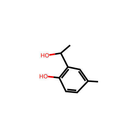 Cc1ccc(O)c(C(C)O)c1